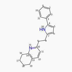 c1ccc(-c2ccc(CCc3ccc4c(n3)CCCC4)[nH]2)cc1